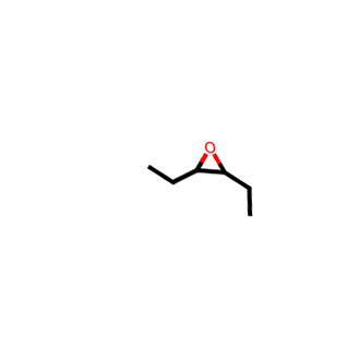 CCC1OC1CC